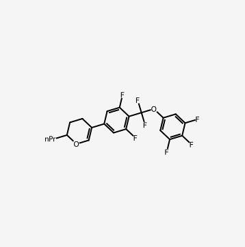 CCCC1CCC(c2cc(F)c(C(F)(F)Oc3cc(F)c(F)c(F)c3)c(F)c2)=CO1